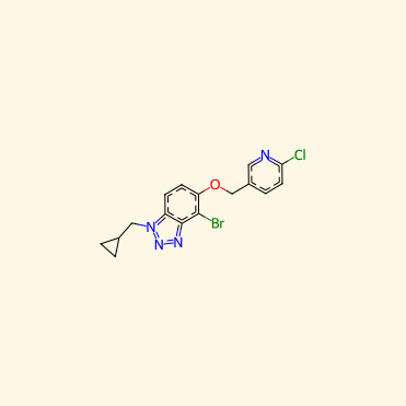 Clc1ccc(COc2ccc3c(nnn3CC3CC3)c2Br)cn1